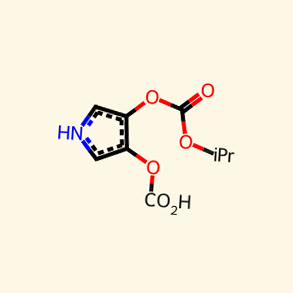 CC(C)OC(=O)Oc1c[nH]cc1OC(=O)O